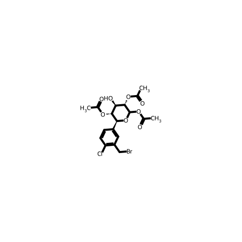 CC(=O)OC1O[C@@H](c2ccc(Cl)c(CBr)c2)[C@H](OC(C)=O)[C@@H](O)[C@@H]1OC(C)=O